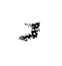 Cc1nc(Nc2ccc(OCCCC(=O)NO)cc2)c2ccccc2n1